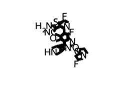 N#Cc1c(N)sc2c(F)cnc(-c3c4c(c5c(C6C7CCC6CNC7)nc(OC[C@@]67CCCN6C[C@H](F)C7)nc5c3F)COC4)c12